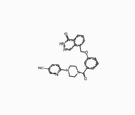 N#Cc1ccc(N2CCN(C(=O)c3cccc(OCc4cccc5c(=O)[nH]ncc45)c3)CC2)nc1